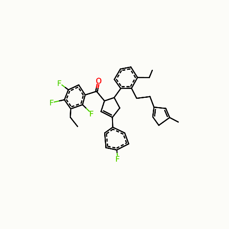 CCc1cccc(C2CC(c3ccc(F)cc3)=CC2C(=O)c2cc(F)c(F)c(CC)c2F)c1CCC1=CCC(C)=C1